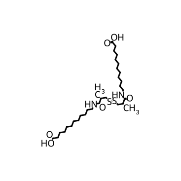 CC(CSSCC(C)C(=O)NCCCCCCCCCCCC(=O)O)C(=O)NCCCCCCCCCCCC(=O)O